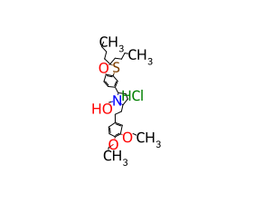 CCCCC1(CCCC)Oc2ccc(C3CCC(CCc4ccc(OCC)c(OCC)c4)N3CO)cc2S1.Cl